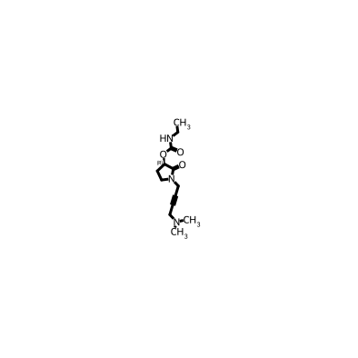 CCNC(=O)O[C@@H]1CCN(CC#CCN(C)C)C1=O